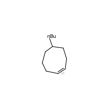 C[CH]CCC1CC/C=C\CCC1